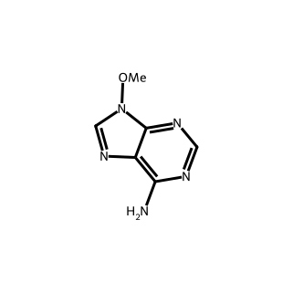 COn1cnc2c(N)ncnc21